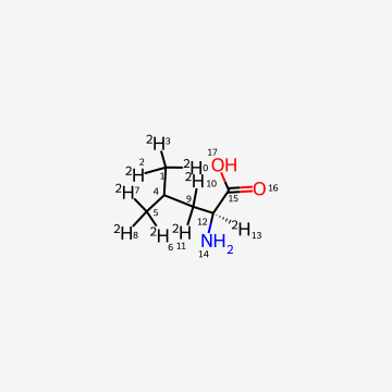 [2H]C([2H])([2H])C(C([2H])([2H])[2H])C([2H])([2H])[C@]([2H])(N)C(=O)O